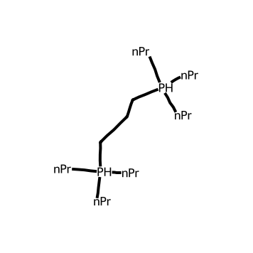 CCC[PH](CCC)(CCC)CCC[PH](CCC)(CCC)CCC